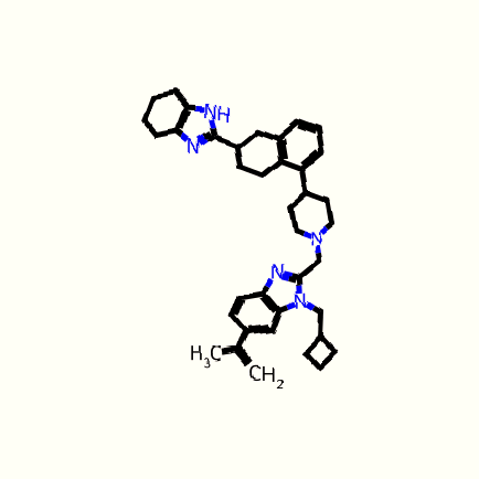 C=C(C)c1ccc2nc(CN3CCC(c4cccc5c4CCC(c4nc6c([nH]4)CCCC6)C5)CC3)n(CC3CCC3)c2c1